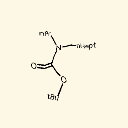 CCCCCCCN(CCC)C(=O)OC(C)(C)C